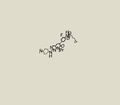 CC(C)n1c(=O)c(-c2ccc(NS(=O)(=O)CCCC3CC3)c(F)c2)cc2cnc(NC3CCC(N(C)C)CC3)nc21